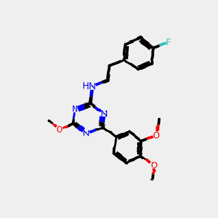 COc1nc(NCCc2ccc(F)cc2)nc(-c2ccc(OC)c(OC)c2)n1